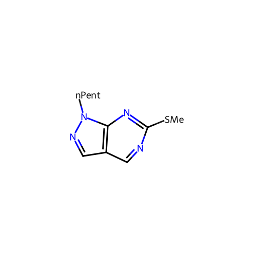 CCCCCn1ncc2cnc(SC)nc21